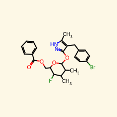 Cc1[nH]nc(OC2OC(COC(=O)c3ccccc3)C(F)C(C)C2C)c1Cc1ccc(Br)cc1